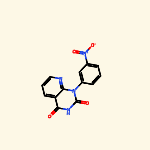 O=c1[nH]c(=O)n(-c2cccc([N+](=O)[O-])c2)c2ncccc12